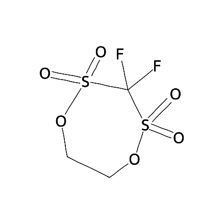 O=S1(=O)OCCOS(=O)(=O)C1(F)F